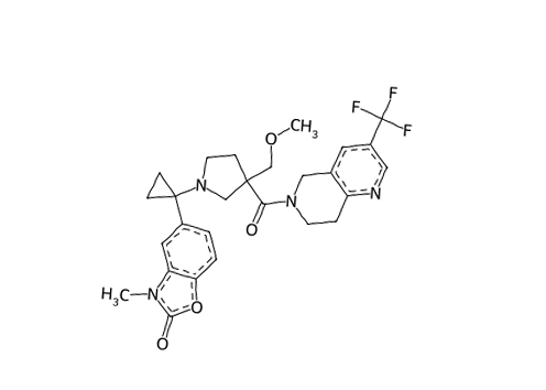 COCC1(C(=O)N2CCc3ncc(C(F)(F)F)cc3C2)CCN(C2(c3ccc4oc(=O)n(C)c4c3)CC2)C1